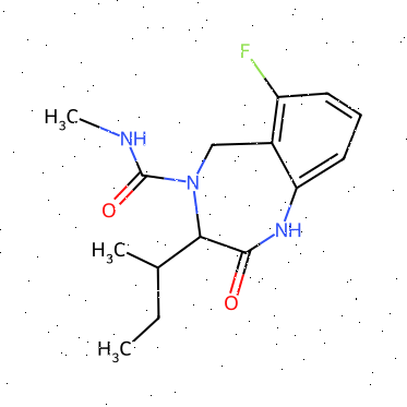 CCC(C)C1C(=O)Nc2cccc(F)c2CN1C(=O)NC